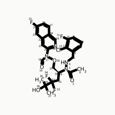 CC(=O)N(NCc1cccc(F)c1Cl)[C@H](CON(C=O)c1cc2cc(F)ccc2cn1)CC(F)(F)C(C)(C)O